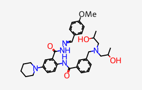 COc1ccc(C=NNC(=O)c2cc(N3CCCCC3)ccc2NC(=O)c2cccc(CN(CC(C)O)CC(C)O)c2)cc1